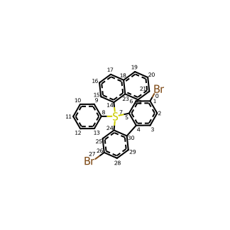 Brc1ccc2c(c1)S(c1ccccc1)(c1cccc3ccccc13)c1cc(Br)ccc1-2